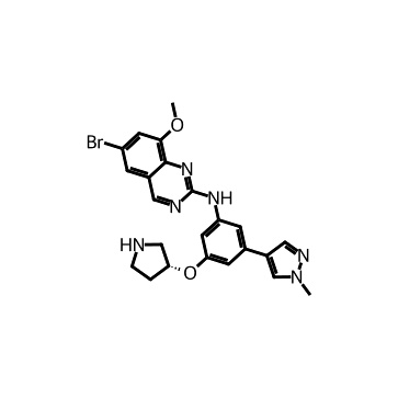 COc1cc(Br)cc2cnc(Nc3cc(O[C@@H]4CCNC4)cc(-c4cnn(C)c4)c3)nc12